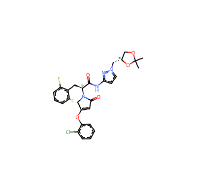 CC1(C)OC[C@@H](Cn2ccc(NC(=O)[C@H](Cc3c(F)cccc3F)N3CC(Oc4ccccc4Cl)=CC3=O)n2)O1